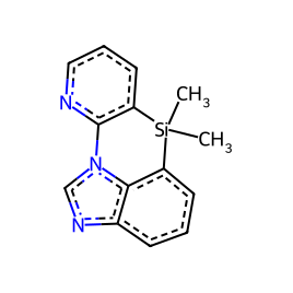 C[Si]1(C)c2cccnc2-n2cnc3cccc1c32